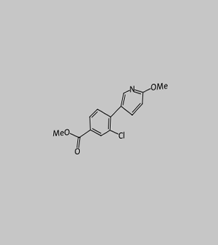 COC(=O)c1ccc(-c2ccc(OC)nc2)c(Cl)c1